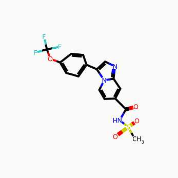 CS(=O)(=O)NC(=O)c1ccn2c(-c3ccc(OC(F)(F)F)cc3)cnc2c1